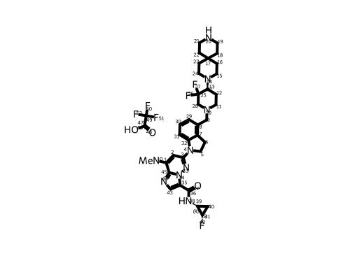 CNc1cc(N2CCc3c(CN4CC[C@H](N5CCC6(CCNCC6)CC5)C(F)(F)C4)cccc32)nn2c(C(=O)N[C@@H]3C[C@@H]3F)cnc12.O=C(O)C(F)(F)F